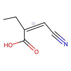 CC/C(=C/C#N)C(=O)O